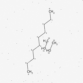 CCCCCCCCCC.CO.CO